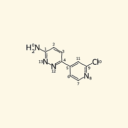 Nc1ccc(-c2ccnc(Cl)c2)nn1